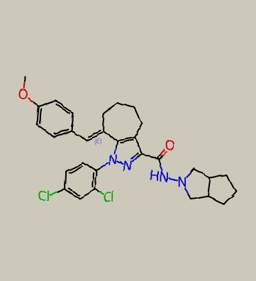 COc1ccc(/C=C2\CCCCc3c(C(=O)NN4CC5CCCC5C4)nn(-c4ccc(Cl)cc4Cl)c32)cc1